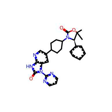 CC1(C)OC(=O)N(C2CCC(c3cnc4[nH]c(=O)n(-c5ncccn5)c4c3)CC2)[C@@H]1c1ccccc1